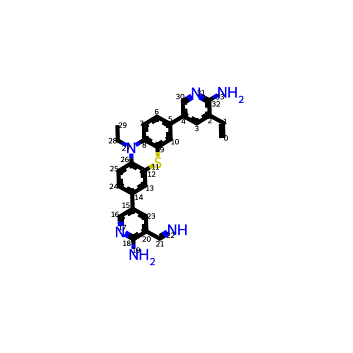 C=Cc1cc(-c2ccc3c(c2)Sc2cc(-c4cnc(N)c(C=N)c4)ccc2N3CC)cnc1N